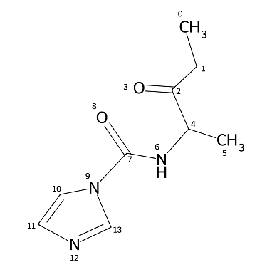 CCC(=O)C(C)NC(=O)n1ccnc1